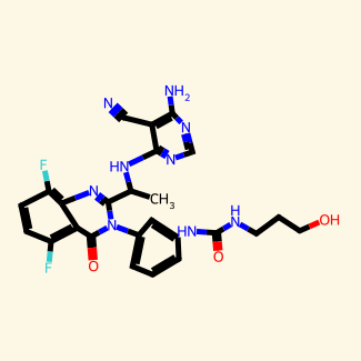 CC(Nc1ncnc(N)c1C#N)c1nc2c(F)ccc(F)c2c(=O)n1-c1cccc(NC(=O)NCCCO)c1